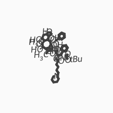 CC1=C2[C@@H](O)C(=O)[C@@]3(C)C([C@H](OC(=O)c4ccccc4)[C@](O)(C[C@@H]1OC(=O)[C@H](OC(=O)CCCCN1CCCCC1)[C@@H](NC(=O)OC(C)(C)C)c1ccccc1)C2(C)C)[C@]1(O)CO[C@@H]1C[C@@H]3O